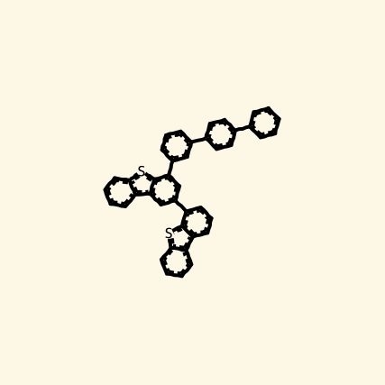 c1ccc(-c2ccc(-c3cccc(-c4cc(-c5cccc6c5sc5ccccc56)cc5c4sc4ccccc45)c3)cc2)cc1